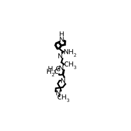 C=C/C(=C\N(C)C(C)CC/N=C(\N)c1cccc2[nH]ccc12)CN1CCC2(CCN(C)C2)CC1